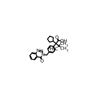 CC(C)(C)C(C(=O)O)(c1ccc(Cn2nnc3ccccc3c2=O)cc1)C1CCCC1